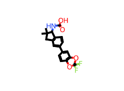 CC1(C)Cc2cc(-c3ccc4c(c3)OC(F)(F)O4)ccc2C1NC(=O)O